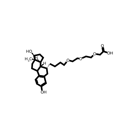 C[C@]12CCC3c4ccc(O)cc4C[C@@H](CCCCOCCOCCOCC(=O)O)[C@H]3[C@@H]1CC[C@@H]2O